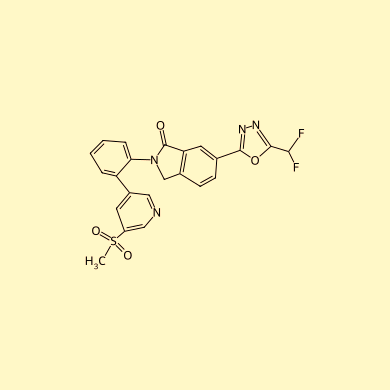 CS(=O)(=O)c1cncc(-c2ccccc2N2Cc3ccc(-c4nnc(C(F)F)o4)cc3C2=O)c1